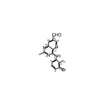 Cc1nc(Nc2cccc(Br)c2C)c2ncc(C=O)cc2n1